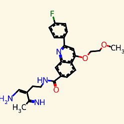 COCCOc1cc(-c2ccc(F)cc2)nc2cc(C(=O)NCC/C(=C/N)C(C)=N)ccc12